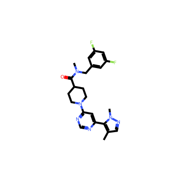 Cc1cnn(C)c1-c1cc(N2CCC(C(=O)N(C)Cc3cc(F)cc(F)c3)CC2)ncn1